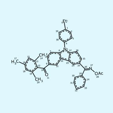 C[C]c1ccc(-n2c3ccc(C(=O)c4c(C)cc(C)cc4C)cc3c3cc(C(=NOC(C)=O)c4ccccc4)ccc32)cc1